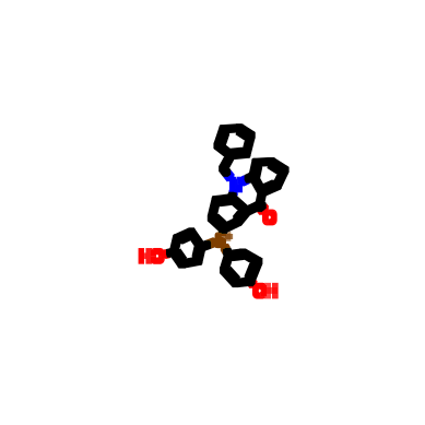 O=c1c2ccccc2n(Cc2ccccc2)c2ccc([S+](c3ccc(O)cc3)c3ccc(O)cc3)cc12